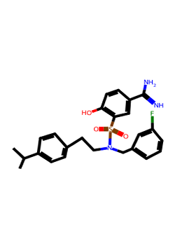 CC(C)c1ccc(CCN(Cc2cccc(F)c2)S(=O)(=O)c2cc(C(=N)N)ccc2O)cc1